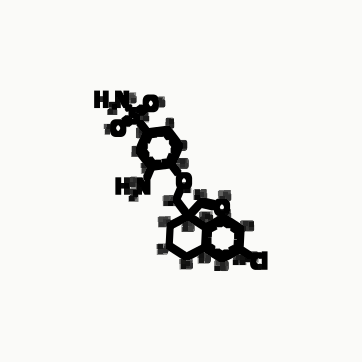 Nc1cc(S(N)(=O)=O)ccc1OCC1(C=O)CCCc2cc(Cl)ccc21